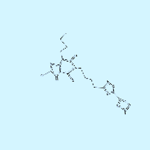 CCCCn1c(=O)n(CCCCc2noc(-c3cc[nH]n3)n2)c(=O)c2[nH]c(Cl)nc21